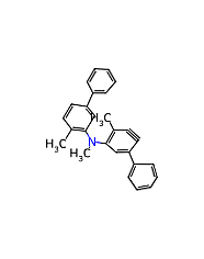 Cc1c#cc(-c2ccccc2)cc1N(C)c1cc(-c2ccccc2)ccc1C